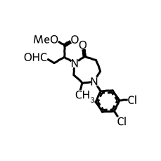 COC(=O)C(CC=O)N1CC(C)N(c2ccc(Cl)c(Cl)c2)CCC1=O